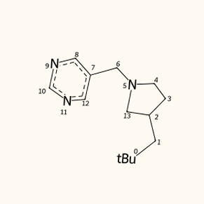 CC(C)(C)CC1CCN(Cc2cncnc2)C1